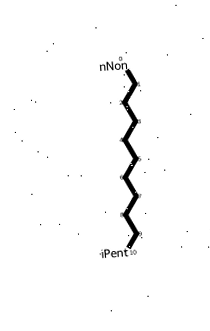 CCCCCCCCCCCCCCCCCC[C](C)CCC